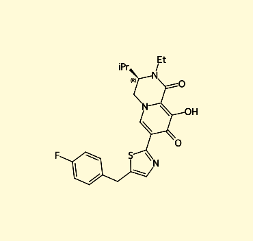 CCN1C(=O)c2c(O)c(=O)c(-c3ncc(Cc4ccc(F)cc4)s3)cn2C[C@H]1C(C)C